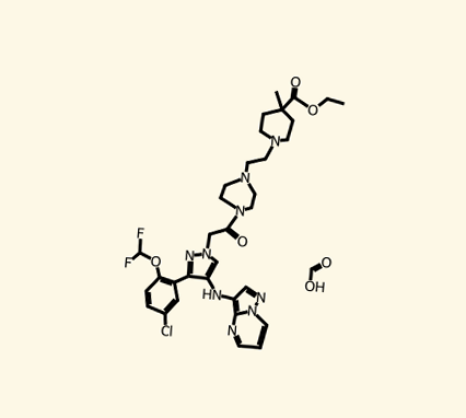 CCOC(=O)C1(C)CCN(CCN2CCN(C(=O)Cn3cc(Nc4cnn5cccnc45)c(-c4cc(Cl)ccc4OC(F)F)n3)CC2)CC1.O=CO